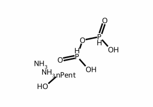 CCCCCO.N.N.O=[PH](O)O[PH](=O)O